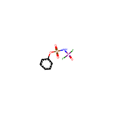 O=P(F)(F)NS(=O)(=O)Oc1ccccc1